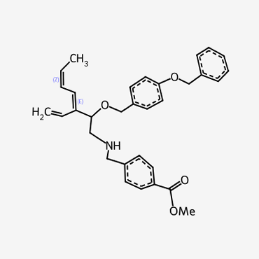 C=C/C(=C\C=C/C)C(CNCc1ccc(C(=O)OC)cc1)OCc1ccc(OCc2ccccc2)cc1